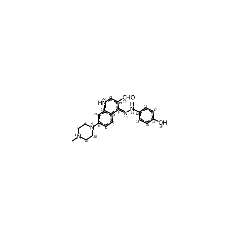 CN1CCN(c2ccc3/c(=N/Nc4ccc(O)cc4)c(C=O)c[nH]c3c2)CC1